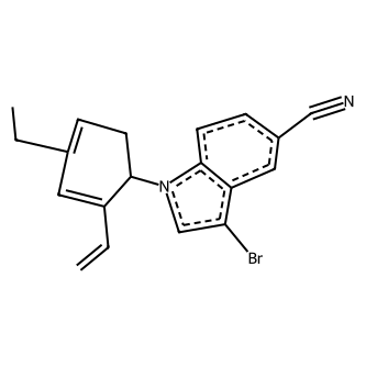 C=CC1=CC(CC)=CCC1n1cc(Br)c2cc(C#N)ccc21